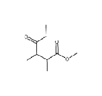 CCC(=O)C(C)C(C)C(=O)OC